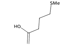 C=C(O)CCCSC